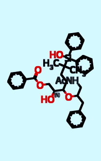 CC(=O)NCC(Cc1ccccc1)OC(CCC(C)(C)[Si](O)(c1ccccc1)c1ccccc1)[C@@H](O)COC(=O)c1ccccc1